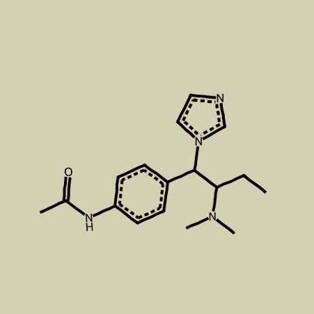 CCC(C(c1ccc(NC(C)=O)cc1)n1ccnc1)N(C)C